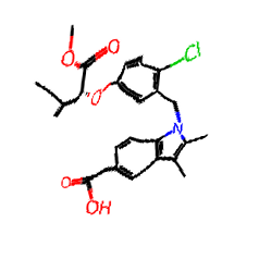 COC(=O)[C@H](Oc1ccc(Cl)c(Cn2c(C)c(C)c3cc(C(=O)O)ccc32)c1)C(C)C